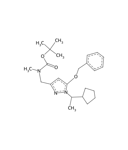 CC(C1CCCC1)n1nc(CN(C)C(=O)OC(C)(C)C)cc1OCc1ccccc1